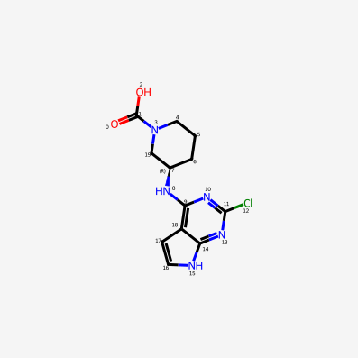 O=C(O)N1CCC[C@@H](Nc2nc(Cl)nc3[nH]ccc23)C1